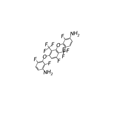 Nc1ccc(F)c(Oc2cc(F)c(C(F)(F)F)c(Oc3c(F)ccc(N)c3F)c2C(F)(F)F)c1F